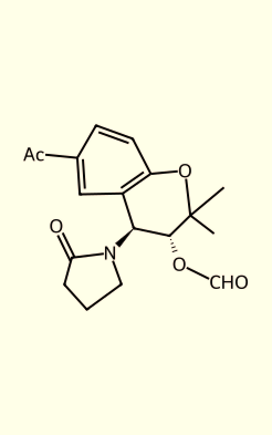 CC(=O)c1ccc2c(c1)[C@H](N1CCCC1=O)[C@@H](OC=O)C(C)(C)O2